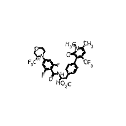 Cc1cc(C(F)(F)F)c(-c2ccc(CC(NC(=O)c3c(F)cc(N4CCOC[C@@H]4C(F)(F)F)cc3F)C(=O)O)cc2)c(=O)n1C